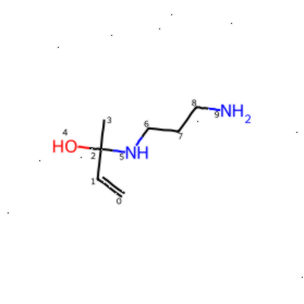 C=CC(C)(O)NCCCN